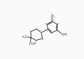 CCOC(=O)C1(C)CCN(c2cc(C=O)cc(C(F)(F)F)c2)CC1